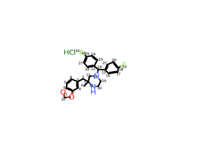 CC1(Cc2ccc3c(c2)OCO3)CN(C(c2ccc(F)cc2)c2ccc(F)cc2)CCN1.Cl